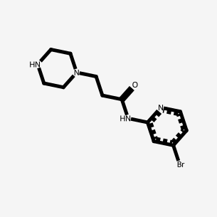 O=C(CCN1CCNCC1)Nc1cc(Br)ccn1